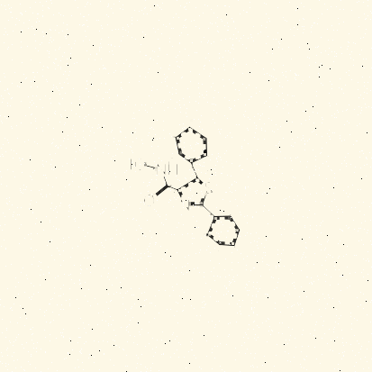 O=C(NO)c1nc(-c2ccccc2)sc1-c1ccccc1